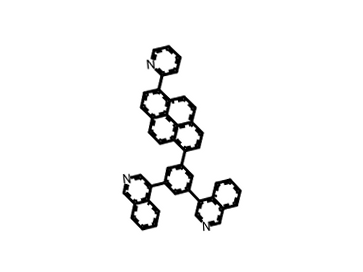 c1ccc(-c2ccc3ccc4c(-c5cc(-c6cncc7ccccc67)cc(-c6cncc7ccccc67)c5)ccc5ccc2c3c54)nc1